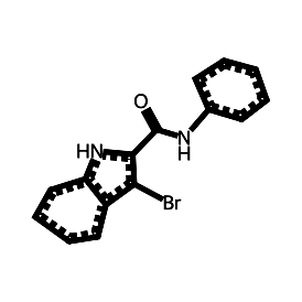 O=C(Nc1ccccc1)c1[nH]c2ccccc2c1Br